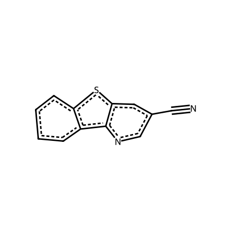 N#Cc1cnc2c(c1)sc1ccccc12